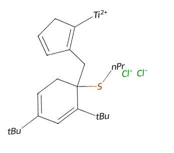 CCCSC1(CC2=[C]([Ti+2])CC=C2)CC=C(C(C)(C)C)C=C1C(C)(C)C.[Cl-].[Cl-]